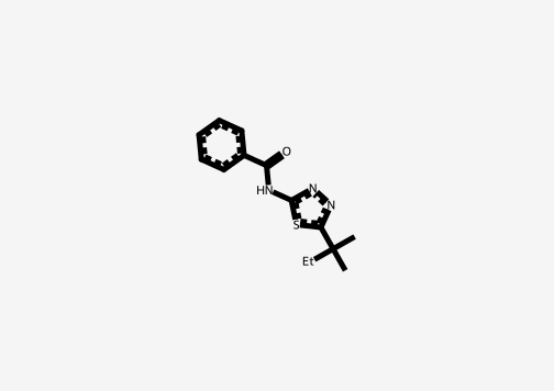 CCC(C)(C)c1nnc(NC(=O)c2ccccc2)s1